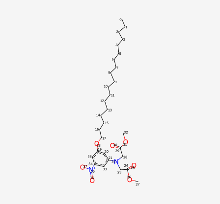 CCCCCCCCCCCCCCCCCCOc1cc(N(CC(=O)OC)CC(=O)OC)cc([N+](=O)[O-])c1